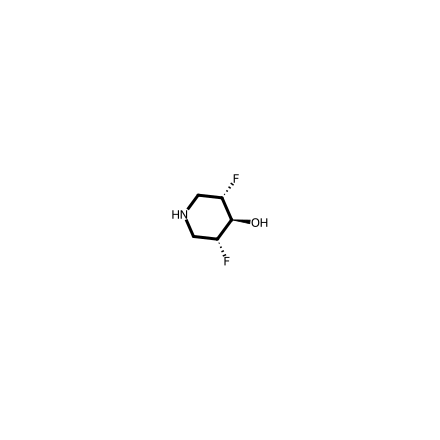 O[C@H]1[C@H](F)CNC[C@@H]1F